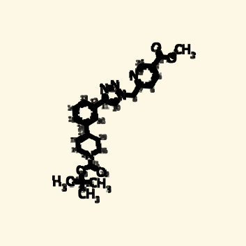 COC(=O)c1ccc(Cn2cc(-c3cccc(C4=CCN(C(=O)OC(C)(C)C)CC4)c3)nn2)nc1